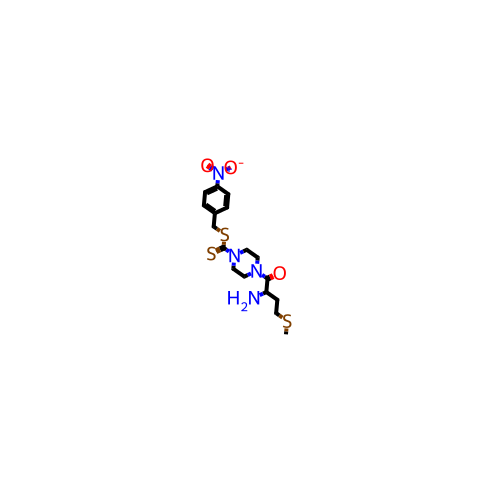 CSCCC(N)C(=O)N1CCN(C(=S)SCc2ccc([N+](=O)[O-])cc2)CC1